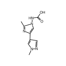 Cc1nc(-c2cnn(C)c2)cn1NC(=O)O